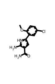 COc1ccc(Cl)cc1-c1cc(C(N)=O)c(N)[nH]1